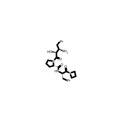 CC(C)C[C@H](NC(=O)[C@@H]1CCCN1C(=O)[C@@H](O)[C@H](N)CC(C)C)C(=O)N1CCC1